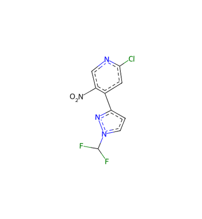 O=[N+]([O-])c1cnc(Cl)cc1-c1ccn(C(F)F)n1